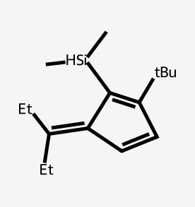 CCC(CC)=C1C=CC(C(C)(C)C)=C1[SiH](C)C